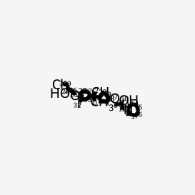 CC(C)(c1ccc(OC[C@@H](O)CN2CCCCCC2)cc1)c1ccc(OC[C@H](O)CCl)c(I)c1